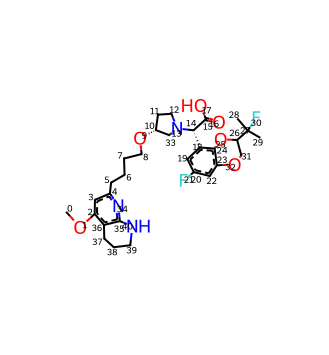 COc1cc(CCCCO[C@@H]2CCN([C@H](C(=O)O)c3cc(F)cc4c3OC(C(C)(C)F)CO4)C2)nc2c1CCCN2